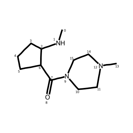 CNC1CCCC1C(=O)N1CCN(C)CC1